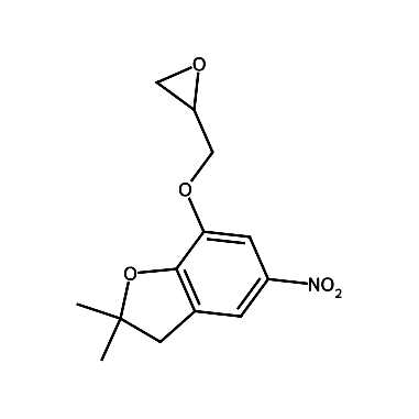 CC1(C)Cc2cc([N+](=O)[O-])cc(OCC3CO3)c2O1